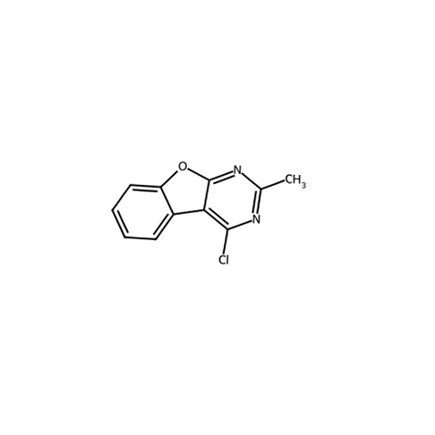 Cc1nc(Cl)c2c(n1)oc1ccccc12